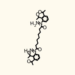 CC(=O)c1cccc(N(N)C(=O)CCCCCCCC(=O)N(N)c2cccc(C(C)=O)c2C(C)=O)c1C(C)=O